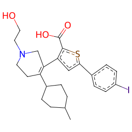 CC1CCC(C2=C(c3cc(-c4ccc(I)cc4)sc3C(=O)O)CN(CCO)CC2)CC1